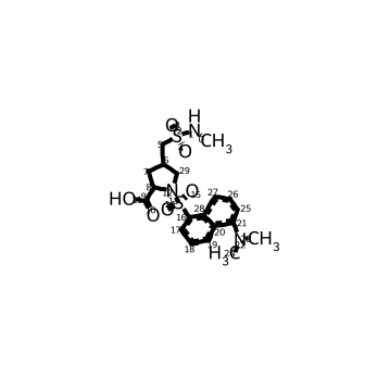 CNS(=O)(=O)CC1CC(C(=O)O)N(S(=O)(=O)c2cccc3c(N(C)C)cccc23)C1